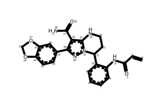 C=CC(=O)Nc1ccccc1C1CCNc2c(C(N)=O)c(-c3ccc4c(c3)OCO4)nn21